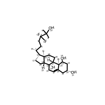 C[C@H](CCC(F)(F)C(C)(C)O)[C@H]1CC[C@H]2[C@@H]3CC=C4C[C@@H](O)C[C@H](O)[C@]4(C)[C@H]3CC[C@]12C